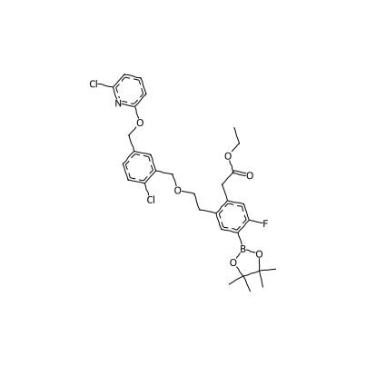 CCOC(=O)Cc1cc(F)c(B2OC(C)(C)C(C)(C)O2)cc1CCOCc1cc(COc2cccc(Cl)n2)ccc1Cl